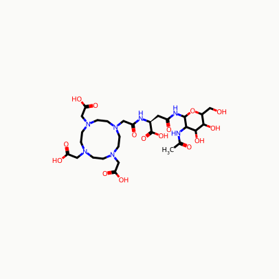 CC(=O)NC1C(NC(=O)C[C@H](NC(=O)CN2CCN(CC(=O)O)CCN(CC(=O)O)CCN(CC(=O)O)CC2)C(=O)O)OC(CO)C(O)C1O